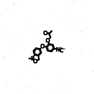 [C-]#[N+]c1ccc(Oc2ccc3c(c2)COB3C)c(OCC(C)=O)c1